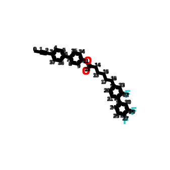 CC#Cc1ccc(-c2ccc(OC(=O)CCCCCc3ccc(-c4ccc(F)c(F)c4)c(F)c3)cc2)cc1